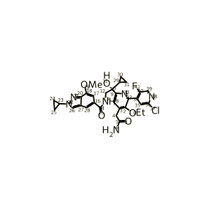 CCOc1c(CC(N)=O)cc([C@@](O)(CNC(=O)c2cc(OC)c3nn(C4CC4)cc3c2)C2CC2)nc1-c1cc(Cl)ncc1F